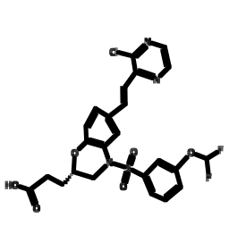 O=C(O)CC[C@H]1CN(S(=O)(=O)c2cccc(OC(F)F)c2)c2cc(/C=C/c3nccnc3Cl)ccc2O1